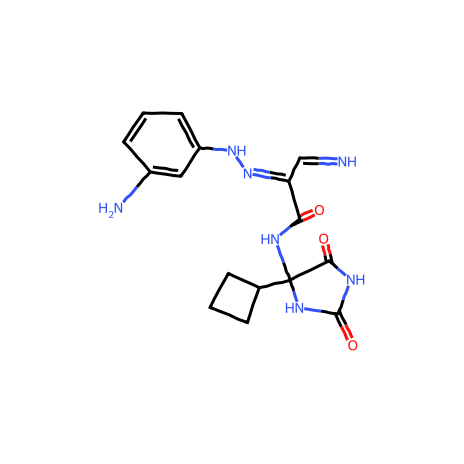 N=C/C(=N\Nc1cccc(N)c1)C(=O)NC1(C2CCC2)NC(=O)NC1=O